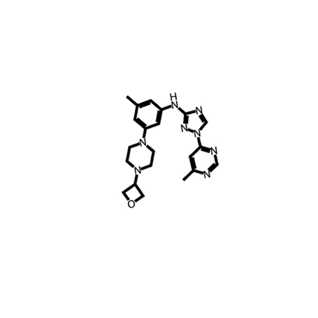 Cc1cc(Nc2ncn(-c3cc(C)ncn3)n2)cc(N2CCN(C3COC3)CC2)c1